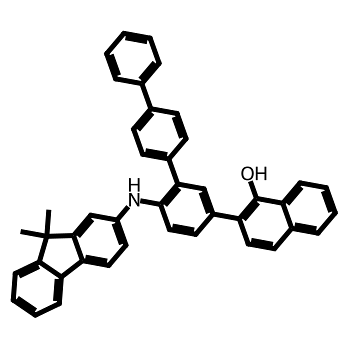 CC1(C)c2ccccc2-c2ccc(Nc3ccc(-c4ccc5ccccc5c4O)cc3-c3ccc(-c4ccccc4)cc3)cc21